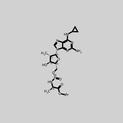 CC(C)OC(=O)[C@@H](C)N[PH](=O)OC[C@H]1O[C@@H](n2cnc3c(NC4CC4)nc(N)nc32)[C@@H](C)[C@@H]1O